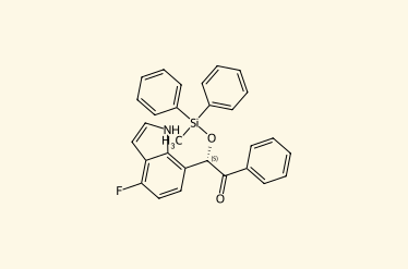 C[Si](O[C@H](C(=O)c1ccccc1)c1ccc(F)c2cc[nH]c12)(c1ccccc1)c1ccccc1